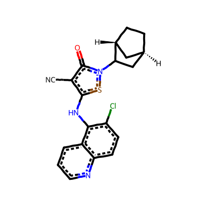 N#Cc1c(Nc2c(Cl)ccc3ncccc23)sn(C2C[C@@H]3CC[C@@H]2C3)c1=O